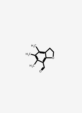 Cc1c(C)c(C=O)c2c(c1C)CCO2